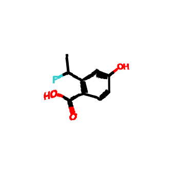 CC(F)c1cc(O)ccc1C(=O)O